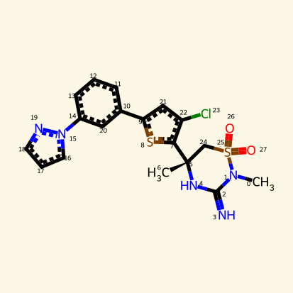 CN1C(=N)N[C@](C)(c2sc(-c3cccc(-n4cccn4)c3)cc2Cl)CS1(=O)=O